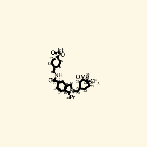 CCS(=O)(=O)N1CCC(CNC(=O)c2ccc3c(c2)CN(CC2CCC(OC)(C(F)(F)F)CC2)C3C(C)C)CC1